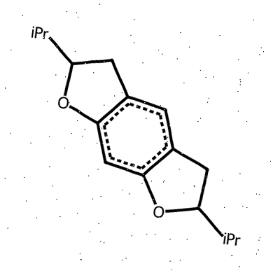 CC(C)C1Cc2cc3c(cc2O1)OC(C(C)C)C3